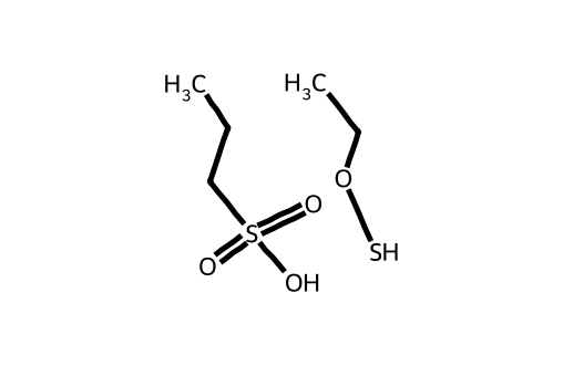 CCCS(=O)(=O)O.CCOS